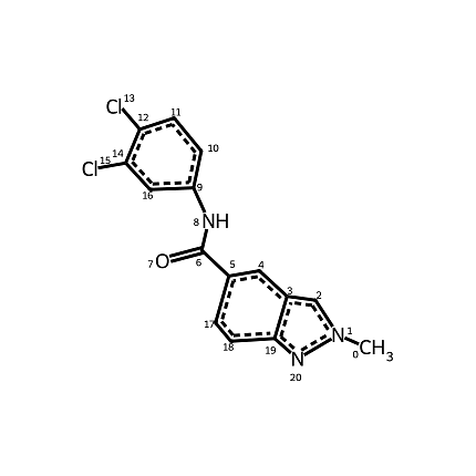 Cn1cc2cc(C(=O)Nc3ccc(Cl)c(Cl)c3)ccc2n1